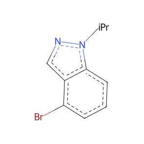 CC(C)n1ncc2c(Br)cccc21